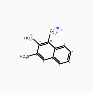 N.O=S(=O)(O)c1cc2ccccc2c(S(=O)(=O)O)c1S(=O)(=O)O